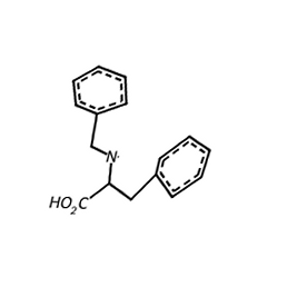 O=C(O)C(Cc1ccccc1)[N]Cc1ccccc1